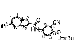 CC(C)c1ccc2cc(C(=O)Nc3ccc(OCC(C)(C)C)c(C#N)c3)sc2n1